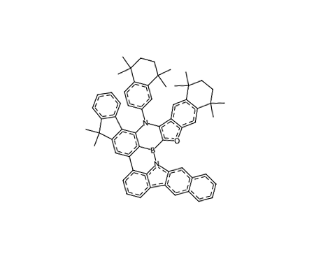 CC1(C)CCC(C)(C)c2cc(N3c4c5c(cc6c4-c4ccccc4C6(C)C)-c4cccc6c7cc8ccccc8cc7n(c46)B5c4oc5cc6c(cc5c43)C(C)(C)CCC6(C)C)ccc21